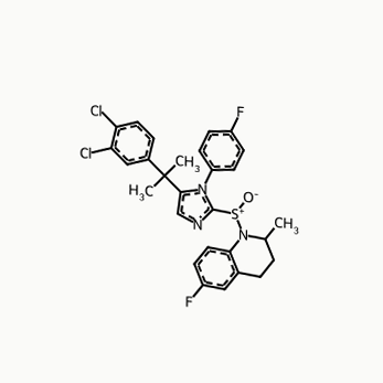 CC1CCc2cc(F)ccc2N1[S+]([O-])c1ncc(C(C)(C)c2ccc(Cl)c(Cl)c2)n1-c1ccc(F)cc1